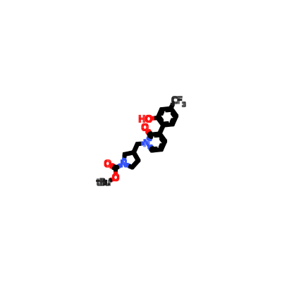 CC(C)(C)OC(=O)N1CCC(Cn2cccc(-c3ccc(C(F)(F)F)cc3O)c2=O)C1